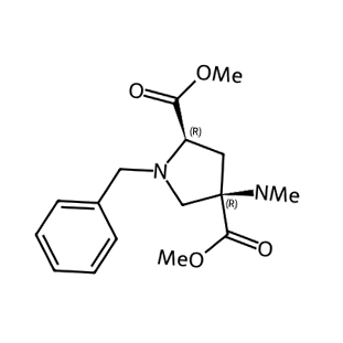 CN[C@]1(C(=O)OC)C[C@H](C(=O)OC)N(Cc2ccccc2)C1